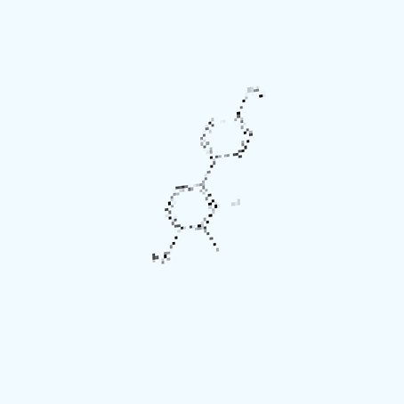 Cc1ccc(-c2ccc(N)cc2)c(F)c1F